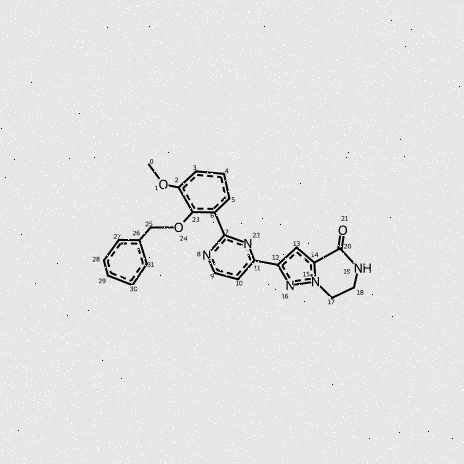 COc1cccc(-c2nccc(-c3cc4n(n3)CCNC4=O)n2)c1OCc1ccccc1